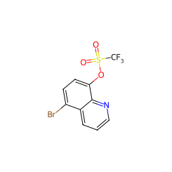 O=S(=O)(Oc1ccc(Br)c2cccnc12)C(F)(F)F